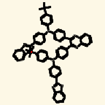 CC(C)(C)c1ccc(N(c2ccc(-c3nc4ccccc4o3)cc2)c2ccc(-c3nc4ccccc4nc3-c3ccc(N(c4ccc(-c5nc6ccccc6o5)cc4)c4ccc(C(C)(C)C)cc4)cc3)cc2)cc1